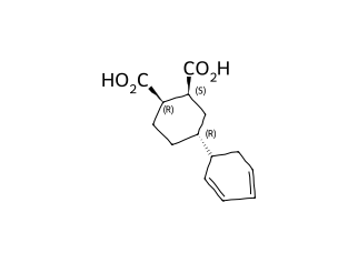 O=C(O)[C@H]1C[C@H](C2C=CC=CC2)CC[C@H]1C(=O)O